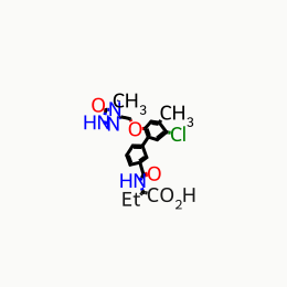 CCC(NC(=O)c1cccc(-c2cc(Cl)c(C)cc2OCc2n[nH]c(=O)n2C)c1)C(=O)O